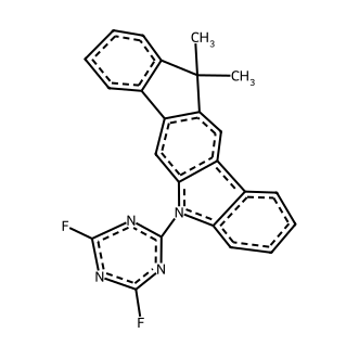 CC1(C)c2ccccc2-c2cc3c(cc21)c1ccccc1n3-c1nc(F)nc(F)n1